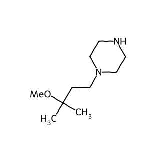 COC(C)(C)CCN1CCNCC1